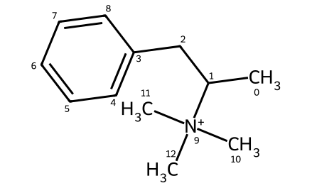 CC(Cc1ccccc1)[N+](C)(C)C